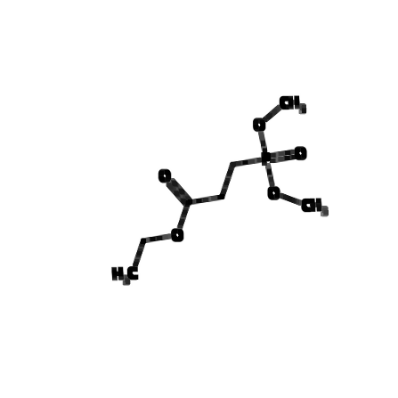 CCOC(=O)CCP(=O)(OC)OC